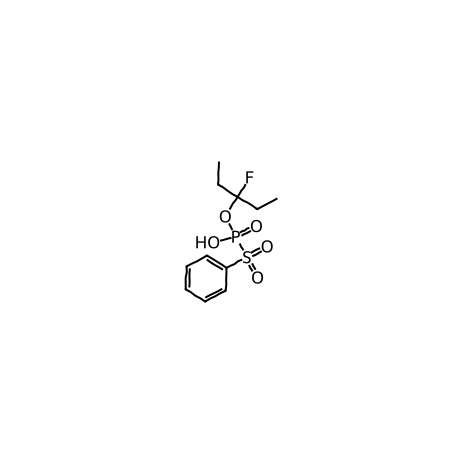 CCC(F)(CC)OP(=O)(O)S(=O)(=O)c1ccccc1